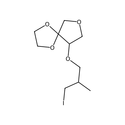 CC(CI)COC1COCC12OCCO2